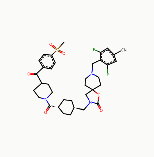 CS(=O)(=O)c1ccc(C(=O)C2CCN(C(=O)[C@H]3CC[C@H](CN4CC5(CCN(Cc6c(F)cc(C#N)cc6F)CC5)OC4=O)CC3)CC2)cc1